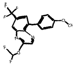 COc1ccc(-c2cc(C(F)(F)F)cc3nc(OC(F)F)cnc23)cc1